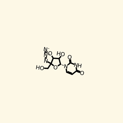 [N-]=[N+]=NC1(CO)O[C@@H](n2ccc(=O)[nH]c2=O)C(O)C1O